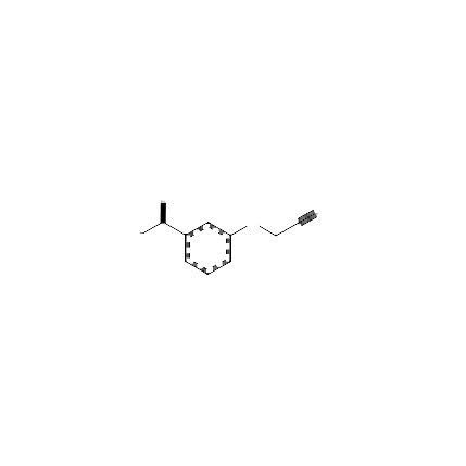 C#CCOc1cccc(C(=O)Cl)c1